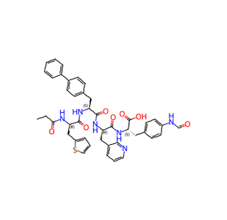 CCC(=O)N[C@H](Cc1cccs1)C(=O)N[C@@H](Cc1ccc(-c2ccccc2)cc1)C(=O)N[C@H](Cc1cccnc1)C(=O)N[C@@H](Cc1ccc(NC=O)cc1)C(=O)O